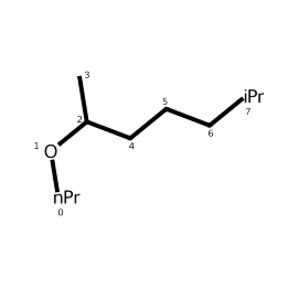 [CH2]CCOC(C)CCCC(C)C